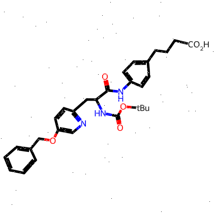 CC(C)(C)OC(=O)NC(Cc1ccc(OCc2ccccc2)cn1)C(=O)Nc1ccc(CCCC(=O)O)cc1